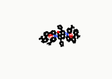 C=Cc1c(N(c2ccc(C(C)C)cc2)c2cccc3c2oc2c(-c4ccccc4C(C)C)cccc23)cc(C2CCCC2)c2ccc3c(N(c4ccc(C(C)C)cc4)c4cccc5c4oc4c(-c6ccccc6C(C)C)cccc45)cc(C4CCCC4)c(C)c3c12